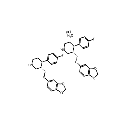 Cl.Fc1ccc([C@@H]2CCNC[C@H]2COc2ccc3c(c2)OCO3)cc1.Fc1ccc([C@@H]2CCNC[C@H]2COc2ccc3c(c2)OCO3)cc1.O